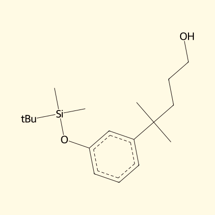 CC(C)(CCCO)c1cccc(O[Si](C)(C)C(C)(C)C)c1